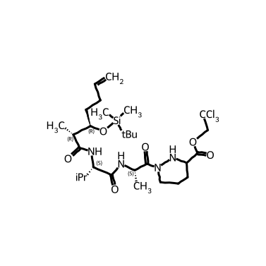 C=CCC[C@@H](O[Si](C)(C)C(C)(C)C)[C@@H](C)C(=O)N[C@H](C(=O)N[C@@H](C)C(=O)N1CCCC(C(=O)OCC(Cl)(Cl)Cl)N1)C(C)C